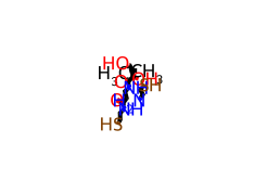 CC(C)(CO)C(O)C(=O)NCCC(=O)NCCS.NCCS